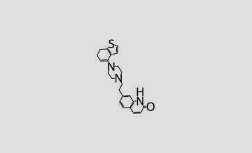 O=c1ccc2ccc(CCN3CCN(C4=CCCc5sccc54)CC3)cc2[nH]1